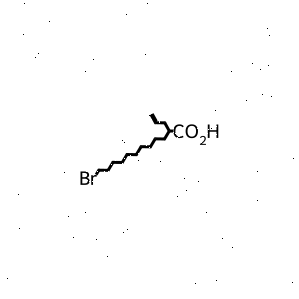 C=CCC(CCCCCCCCCCBr)C(=O)O